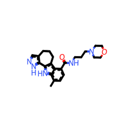 Cc1ccc(C(=O)NCCCN2CCOCC2)c2c3c([nH]c12)-c1[nH]ncc1CCC3